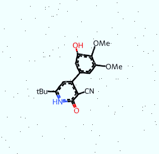 COc1cc(-c2cc(C(C)(C)C)[nH]c(=O)c2C#N)cc(O)c1OC